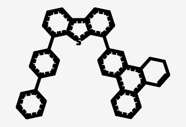 C1=Cc2c(c3cc(-c4cccc5c4sc4c(-c6ccc(-c7ccccc7)cc6)cccc45)ccc3c3ccccc23)CC1